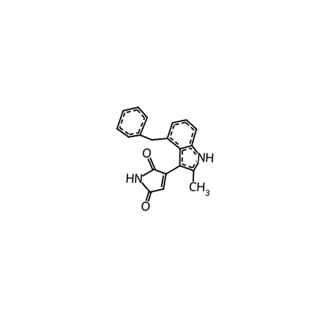 Cc1[nH]c2cccc(Cc3ccccc3)c2c1C1=CC(=O)NC1=O